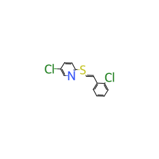 Clc1ccc(S/C=C/c2ccccc2Cl)nc1